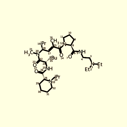 CCN(CC)CCNC(=O)[C@@H]1CCCN1C(=O)/C(C)=C/[C@H](C(C)C)N(C)C(=O)[C@@H](NC(=O)[C@H]1CCCCN1C(C)C)C(C)(C)C